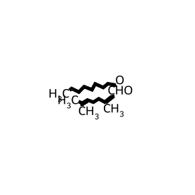 CC(C)=CCCC(C)=CC=O.CCCCCCCCC=O